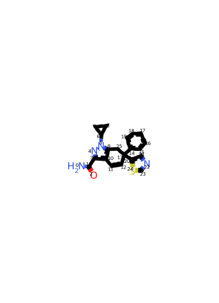 NC(=O)c1nn(C2CC2)c2c1C=CC(c1ccccc1)(c1cncs1)C2